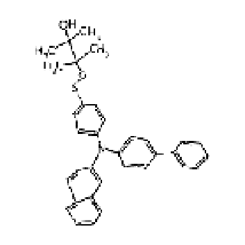 CC(C)(O)C(C)(C)OSc1ccc(N(c2ccc(-c3ccccc3)cc2)c2ccc3ccccc3c2)cc1